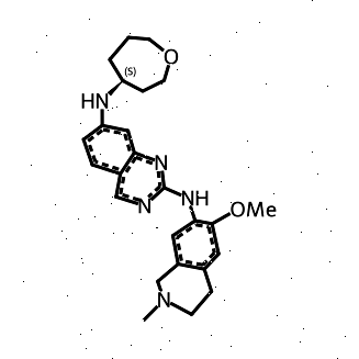 COc1cc2c(cc1Nc1ncc3ccc(N[C@H]4CCCOCC4)cc3n1)CN(C)CC2